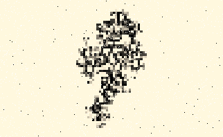 CO[Si](Cc1ccnc(OC(=O)C(N2C(=O)c3cc(Oc4cc(C)cc(C)c4)c4c5c(Oc6cc(C)cc(C)c6)cc6c7c(cc(Oc8cc(C)cc(C)c8)c(c8c(Oc9cc(C)cc(C)c9)cc(c3c48)C2=O)c75)C(=O)N(C(C(=O)Oc2cc(C[Si](OC)(OC)OC)ccn2)C(F)(F)F)C6=O)C(F)(F)F)c1)(OC)OC